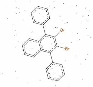 Brc1c(Br)c(-c2ccccc2)c2ccccc2c1-c1ccccc1